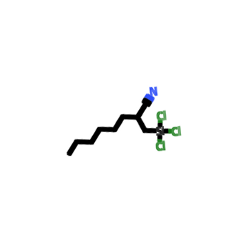 CCCCCCC(C#N)C[Si](Cl)(Cl)Cl